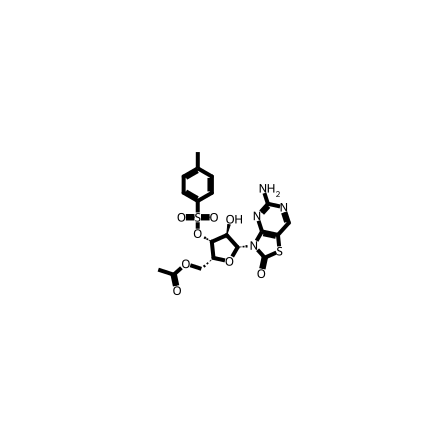 CC(=O)OC[C@H]1O[C@@H](n2c(=O)sc3cnc(N)nc32)[C@H](O)[C@H]1OS(=O)(=O)c1ccc(C)cc1